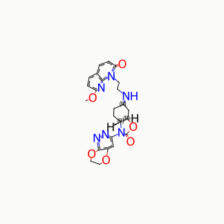 COc1ccc2ccc(=O)n(CCN[C@@H]3CC[C@@H]4[C@@H](C3)OC(=O)N4c3cc4c(nn3)OCCO4)c2n1